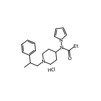 CCC(=O)N(C1CCN(CC(C)c2ccccc2)CC1)n1cccc1.Cl